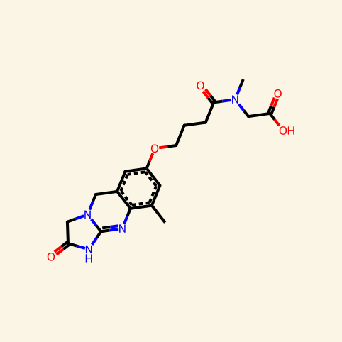 Cc1cc(OCCCC(=O)N(C)CC(=O)O)cc2c1N=C1NC(=O)CN1C2